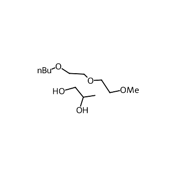 CC(O)CO.CCCCOCCOCCOC